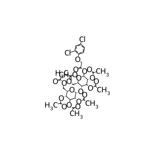 CC(=O)OC[C@H]1O[C@H](O[C@H]2[C@H](OC(C)=O)[C@@H](OC(C)=O)[C@H](OC(=O)COc3ccc(Cl)cc3Cl)O[C@@H]2COC(C)=O)[C@H](OC(C)=O)[C@@H](OC(C)=O)[C@@H]1OC(C)=O